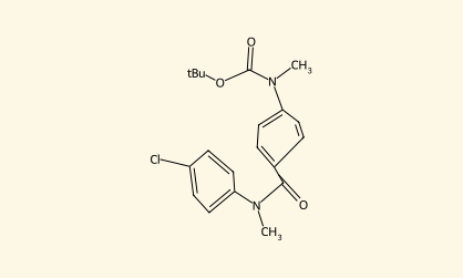 CN(C(=O)OC(C)(C)C)c1ccc(C(=O)N(C)c2ccc(Cl)cc2)cc1